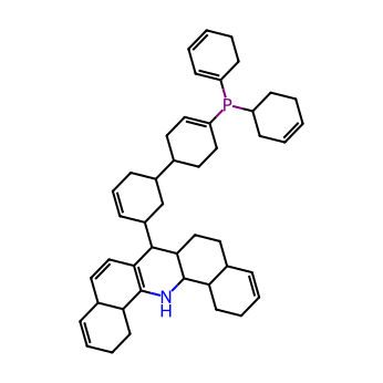 C1=CCCC(P(C2=CCC(C3CC=CC(C4C5=C(NC6C7CCC=CC7CCC64)C4CCC=CC4C=C5)C3)CC2)C2CC=CCC2)=C1